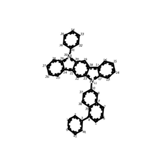 c1ccc(-c2cccc3cc(-n4c5ccccc5c5cc6c(cc54)c4ccccc4n6-c4ccccc4)ccc23)cc1